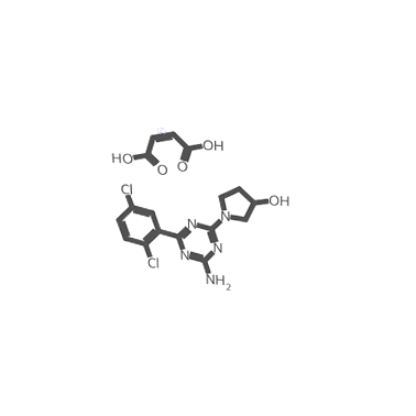 Nc1nc(-c2cc(Cl)ccc2Cl)nc(N2CCC(O)C2)n1.O=C(O)/C=C\C(=O)O